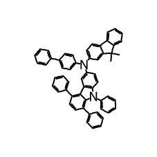 CC1(C)c2ccccc2-c2ccc(N(c3ccc(-c4ccccc4)cc3)c3ccc4c(c3)c3c(-c5ccccc5)ccc(-c5ccccc5)c3n4-c3ccccc3)cc21